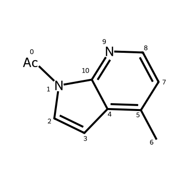 CC(=O)n1ccc2c(C)ccnc21